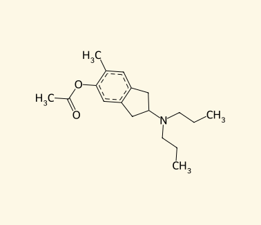 CCCN(CCC)C1Cc2cc(C)c(OC(C)=O)cc2C1